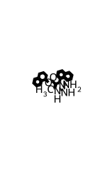 CC1=C(C(=O)OC2CCCc3ccccc32)C(c2cccc3ccccc23)N(N)C(=N)N1